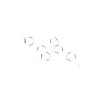 COc1ccc(-c2cc3c(C)ccc4c5cc(-c6ccc(C)cc6)cc6c(C)ccc(c(c2)c34)c65)cc1